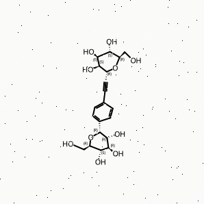 OC[C@H]1O[C@H](c2ccc(C#C[C@H]3O[C@H](CO)[C@@H](O)[C@H](O)[C@@H]3O)cc2)[C@H](O)[C@@H](O)[C@@H]1O